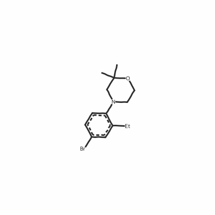 CCc1cc(Br)ccc1N1CCOC(C)(C)C1